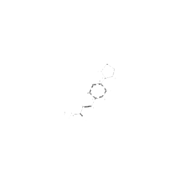 NC(=O)C=Cc1ccc(C2CCCC2)cc1